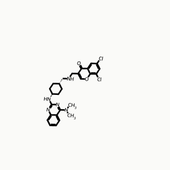 CN(C)c1nc(N[C@H]2CC[C@@H](CNCc3coc4c(Cl)cc(Cl)cc4c3=O)CC2)nc2ccccc12